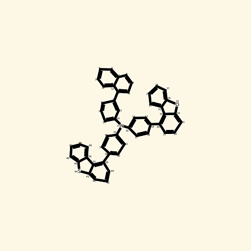 c1cc(-c2cccc3ccccc23)cc(N(c2ccc(-c3cccc4oc5ccccc5c34)cc2)c2ccc(-c3cccc4sc5ccccc5c34)cc2)c1